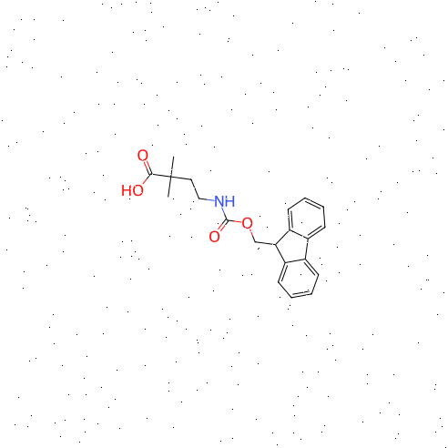 CC(C)(CCNC(=O)OCC1c2ccccc2-c2ccccc21)C(=O)O